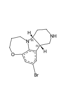 Brc1cc2c3c(c1)[C@H]1CNCC[C@H]1N3CCCO2